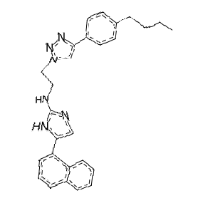 CCCCc1ccc(-c2cn(CCNc3ncc(-c4cccc5ccccc45)[nH]3)nn2)cc1